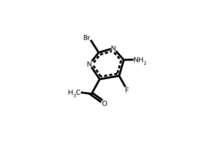 CC(=O)c1nc(Br)nc(N)c1F